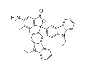 CCn1c2ccccc2c2cc(C3(c4ccc5c(c4)c4ccccc4n5CC)OC(=O)c4cc(N)c(C)c(C)c43)ccc21